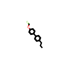 CCCc1ccc(-c2ccc(OCF)cc2)cc1